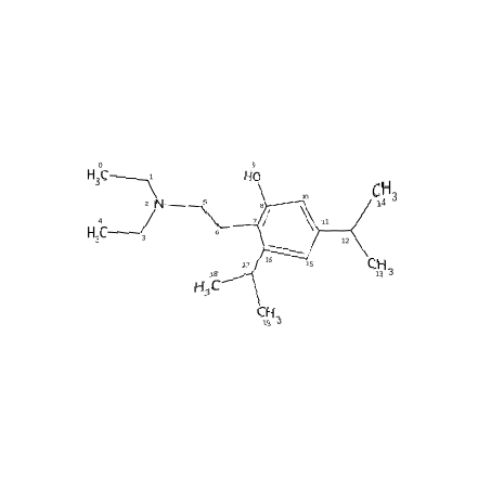 CCN(CC)CCc1c(O)cc(C(C)C)cc1C(C)C